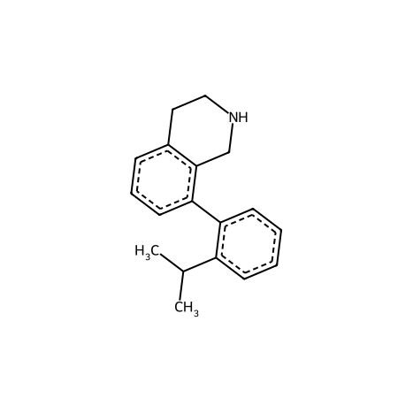 CC(C)c1ccccc1-c1cccc2c1CNCC2